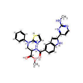 CNc1nccc(-c2cc3cc(C(=O)NC(CN(c4ccccc4)c4nccs4)C(=O)OC)ccc3[nH]2)n1